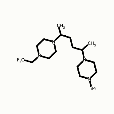 CC(C)N1CCN(C(C)CCC(C)N2CCN(CC(F)(F)F)CC2)CC1